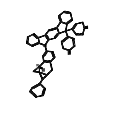 C1=CC(C2(C3=CCNC=C3)c3ccccc3-c3cc4c5ccccc5n(-c5ccc6c(c5)[C@H]5CC57C(C6)C7c5ccccc5)c4cc32)=CCN1